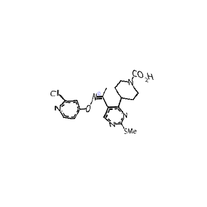 CSc1ncc(/C(C)=N\Oc2ccnc(Cl)c2)c(C2CCN(C(=O)O)CC2)n1